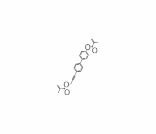 C=C(C)C(=O)OCC#Cc1ccc(-c2ccc(OC(=O)C(=C)C)cc2)cc1